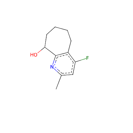 Cc1cc(F)c2c(n1)C(O)CCCC2